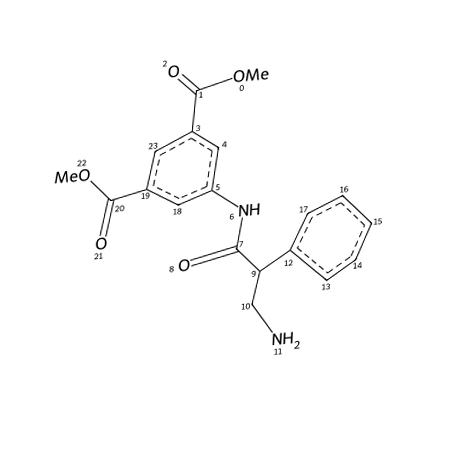 COC(=O)c1cc(NC(=O)C(CN)c2ccccc2)cc(C(=O)OC)c1